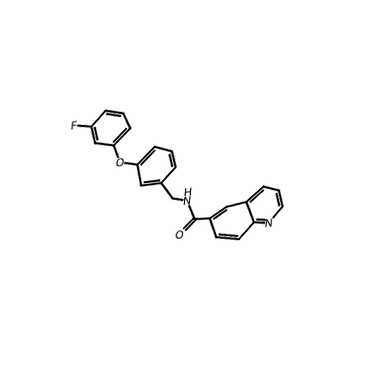 O=C(NCc1cccc(Oc2cccc(F)c2)c1)c1ccc2ncccc2c1